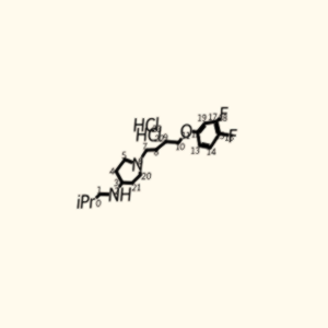 CC(C)CNC1CCN(CCCCOc2ccc(F)c(F)c2)CC1.Cl.Cl